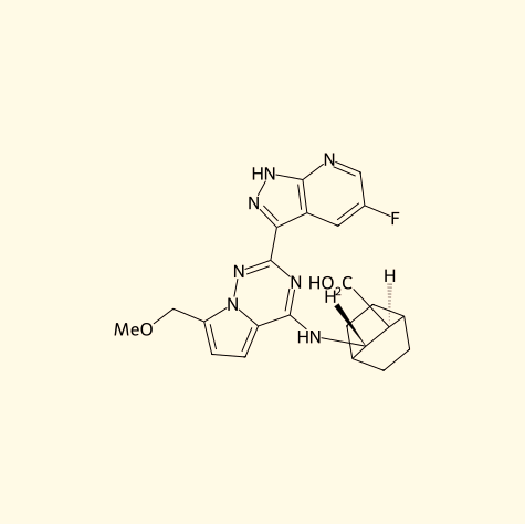 COCc1ccc2c(N[C@H]3C4CCC(CC4)[C@@H]3C(=O)O)nc(-c3n[nH]c4ncc(F)cc34)nn12